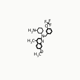 COc1ccc2c(C)cc(N(Cc3cccc(OC(F)(F)F)c3)[C@H]3CCC[C@H](N)C3)nc2c1